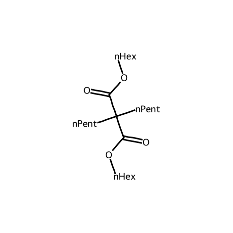 CCCCCCOC(=O)C(CCCCC)(CCCCC)C(=O)OCCCCCC